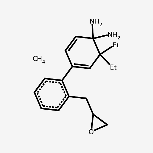 C.CCC1(CC)C=C(c2ccccc2CC2CO2)C=CC1(N)N